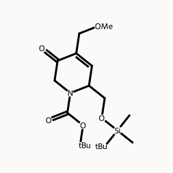 COCC1=CC(CO[Si](C)(C)C(C)(C)C)N(C(=O)OC(C)(C)C)CC1=O